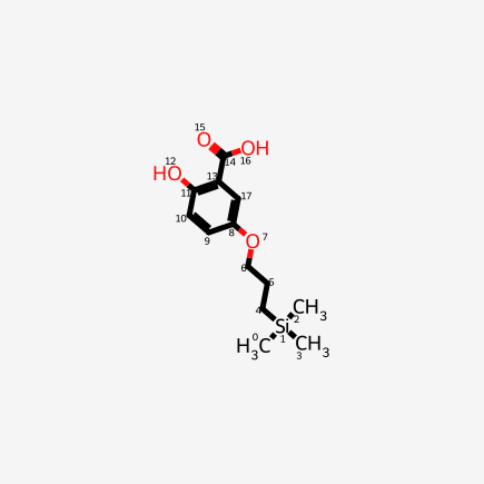 C[Si](C)(C)CCCOc1ccc(O)c(C(=O)O)c1